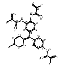 C=C(C)C(=O)Oc1ccc(C(=C2CCC(C)CC2)c2ccc(OC(=O)C(=C)C)c(OC(=O)C(=C)C)c2)cc1